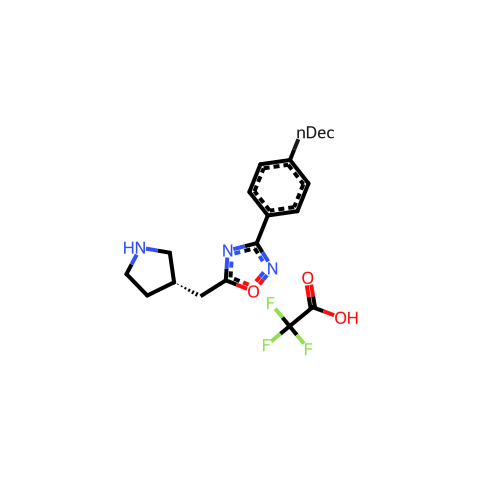 CCCCCCCCCCc1ccc(-c2noc(C[C@@H]3CCNC3)n2)cc1.O=C(O)C(F)(F)F